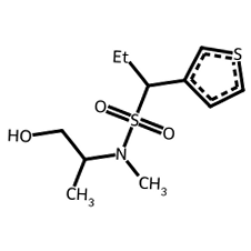 CCC(c1ccsc1)S(=O)(=O)N(C)C(C)CO